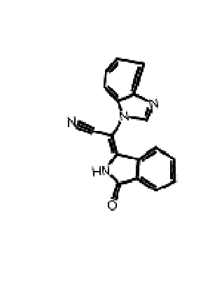 N#CC(=C1NC(=O)c2ccccc21)n1cnc2ccccc21